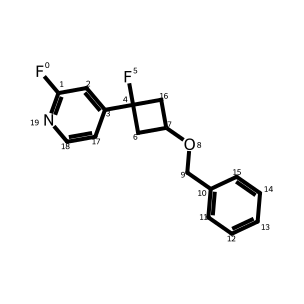 Fc1cc(C2(F)CC(OCc3ccccc3)C2)ccn1